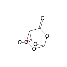 O=C1OC2OC(=O)C1C(=O)O2